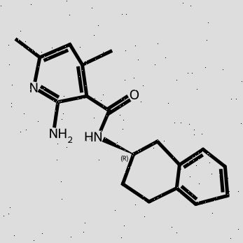 Cc1cc(C)c(C(=O)N[C@@H]2CCc3ccccc3C2)c(N)n1